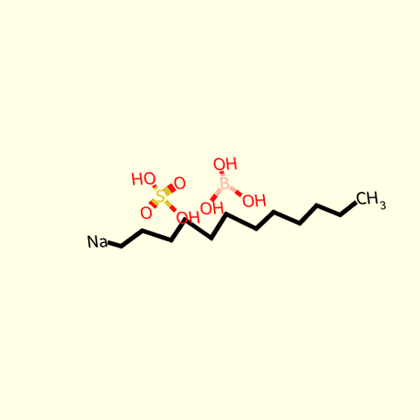 CCCCCCCCCCC[CH2][Na].O=S(=O)(O)O.OB(O)O